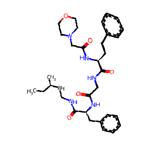 CC[C@@H](C)BCNC(=O)[C@H](Cc1ccccc1)NC(=O)CNC(=O)[C@H](CCc1ccccc1)NC(=O)CN1CCOCC1